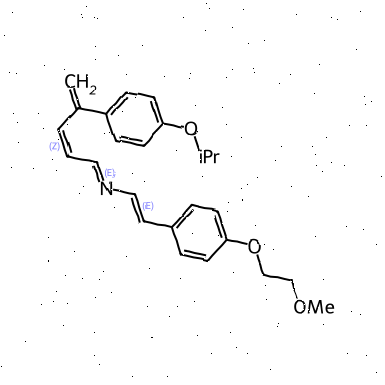 C=C(\C=C/C=N/C=C/c1ccc(OCCOC)cc1)c1ccc(OC(C)C)cc1